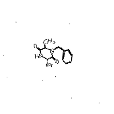 CCC[C@H]1NC(=O)C(C)N(Cc2ccccc2)C1=O